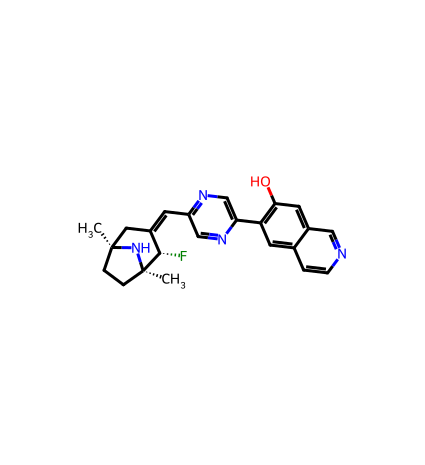 C[C@@]12CC[C@@](C)(N1)[C@@H](F)/C(=C\c1cnc(-c3cc4ccncc4cc3O)cn1)C2